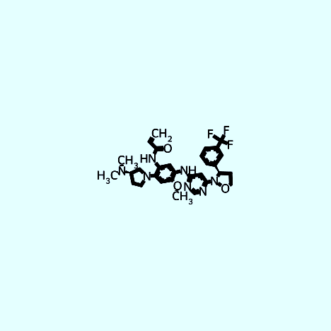 C=CC(=O)Nc1cc(Nc2cc(N3OCC[C@@H]3c3cccc(C(F)(F)F)c3)ncn2)c(OC)cc1N1CC[C@@H](N(C)C)C1